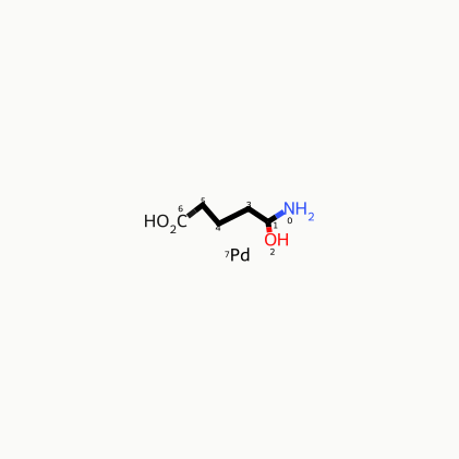 NC(O)CCCC(=O)O.[Pd]